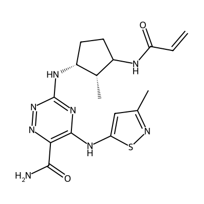 C=CC(=O)NC1CC[C@@H](Nc2nnc(C(N)=O)c(Nc3cc(C)ns3)n2)[C@H]1C